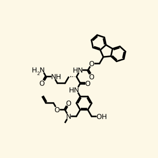 C=CCOC(=O)N(C)Cc1cc(NC(=O)[C@H](CCCNC(N)=O)NC(=O)OCC2c3ccccc3-c3ccccc32)ccc1CO